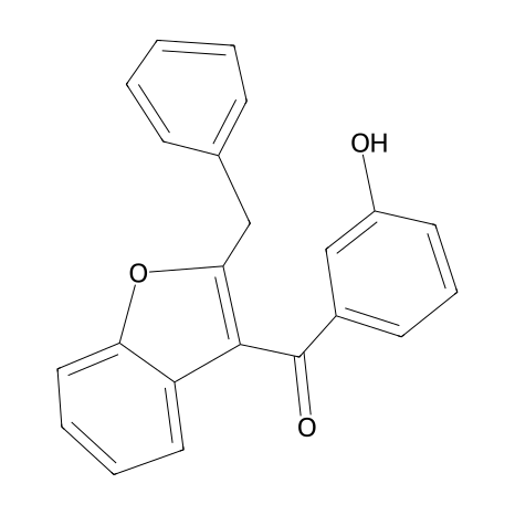 O=C(c1cccc(O)c1)c1c(Cc2ccccc2)oc2ccccc12